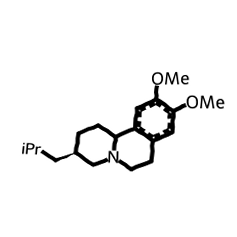 COc1cc2c(cc1OC)C1CC[C@H](CC(C)C)CN1CC2